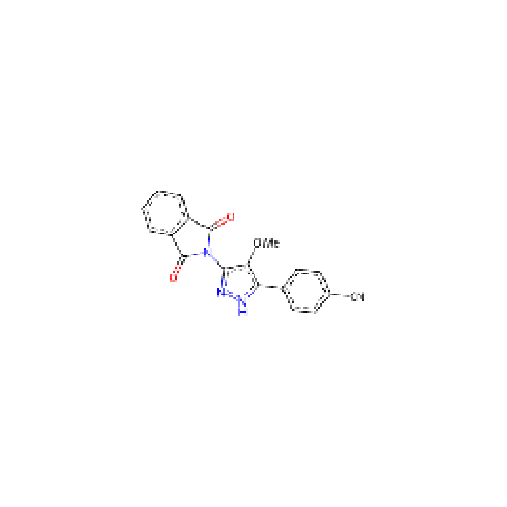 COc1c(N2C(=O)c3ccccc3C2=O)n[nH]c1-c1ccc(C#N)cc1